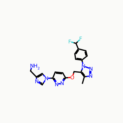 Cc1nnn(-c2ccc(C(F)F)cc2)c1COc1ccc(-n2cnc(CN)c2)nn1